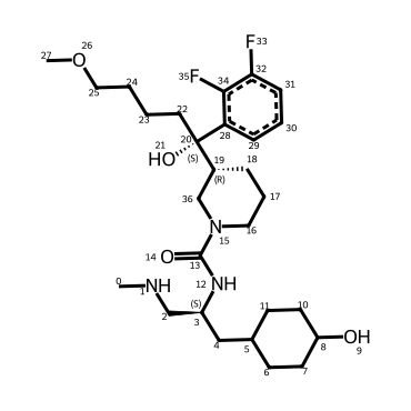 CNC[C@H](CC1CCC(O)CC1)NC(=O)N1CCC[C@@H]([C@@](O)(CCCCOC)c2cccc(F)c2F)C1